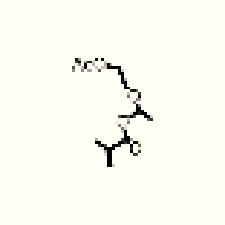 C=C(C)C(=O)OC(C)OCCOC(C)=O